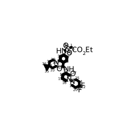 CCOC(=O)CS(=O)(=O)Nc1ccc(C(=O)Nc2cccn(N3CCC(F)(F)CC3)c2=O)c(N2CCC3(CC2)CC3)c1